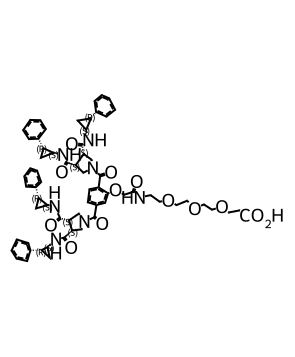 O=C(O)CCOCCOCCOCCNC(=O)COc1cc(C(=O)N2C[C@@H](C(=O)N[C@H]3C[C@@H]3c3ccccc3)[C@H](C(=O)N[C@H]3C[C@@H]3c3ccccc3)C2)ccc1C(=O)N1C[C@@H](C(=O)N[C@H]2C[C@@H]2c2ccccc2)[C@H](C(=O)N[C@H]2C[C@@H]2c2ccccc2)C1